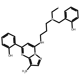 Bc1cnn2c(NCCCN(CI)Cc3ccccc3O)cc(-c3ccccc3O)nc12